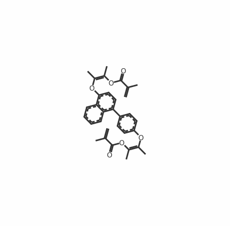 C=C(C)C(=O)OC(C)=C(C)Oc1ccc(-c2ccc(OC(C)=C(C)OC(=O)C(=C)C)c3ccccc23)cc1